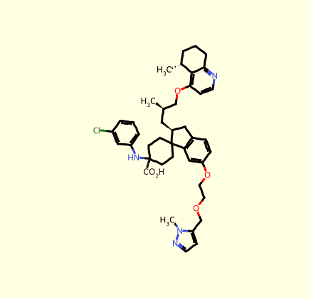 C[C@@H](COc1ccnc2c1[C@H](C)CCC2)C[C@H]1Cc2ccc(OCCOCc3ccnn3C)cc2C12CCC(Nc1cccc(Cl)c1)(C(=O)O)CC2